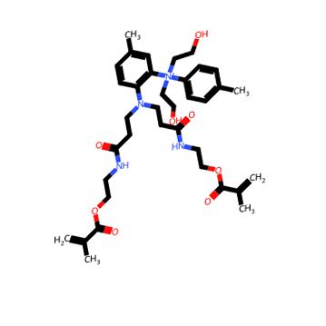 C=C(C)C(=O)OCCNC(=O)CCN(CCC(=O)NCCOC(=O)C(=C)C)c1ccc(C)cc1[N+](CCO)(CCO)c1ccc(C)cc1